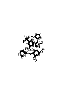 COc1ccc(CN(c2ccncn2)S(=O)(=O)c2ccc(O[C@H]3CCC[C@@H]3c3ccnn3C)c(C(F)(F)F)c2)c(OC)c1